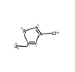 ClC1=CC(Cl)=N[N]1